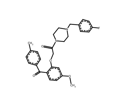 COc1ccc(C(=O)c2ccc(C)cc2)c(OCC(=O)N2CCN(Cc3ccc(F)cc3)CC2)c1